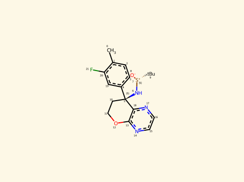 Cc1ccc([C@@]2(N[S@+]([O-])C(C)(C)C)CCOc3nccnc32)cc1F